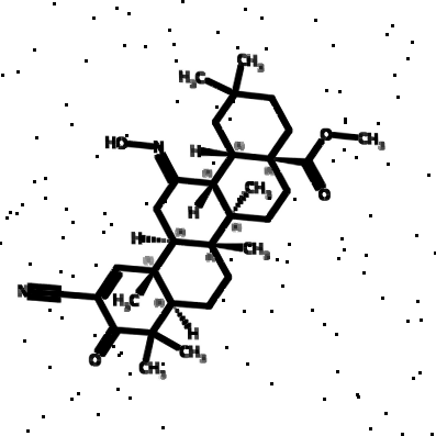 COC(=O)[C@]12CCC(C)(C)C[C@H]1[C@H]1C(=NO)C[C@@H]3[C@@]4(C)C=C(C#N)C(=O)C(C)(C)[C@@H]4CC[C@@]3(C)[C@]1(C)CC2